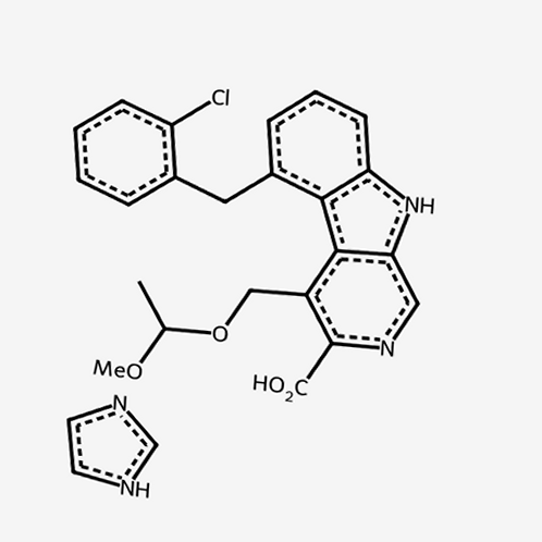 COC(C)OCc1c(C(=O)O)ncc2[nH]c3cccc(Cc4ccccc4Cl)c3c12.c1c[nH]cn1